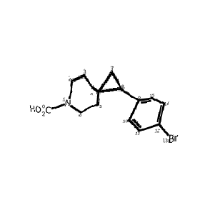 O=C(O)N1CCC2(CC1)CC2c1ccc(Br)cc1